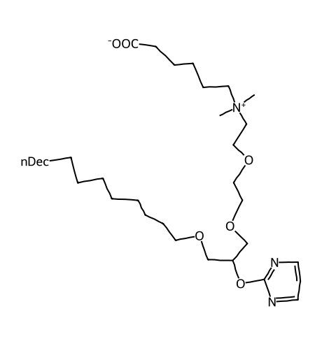 CCCCCCCCCCCCCCCCCCOCC(COCCOCC[N+](C)(C)CCCCCC(=O)[O-])Oc1ncccn1